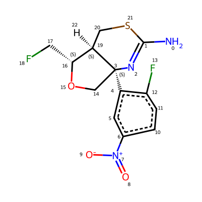 NC1=N[C@@]2(c3cc([N+](=O)[O-])ccc3F)CO[C@H](CF)[C@H]2CS1